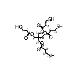 O=C(CCO)OCC(COC(=O)CCS)(COC(=O)CCS)COC(=O)CCS